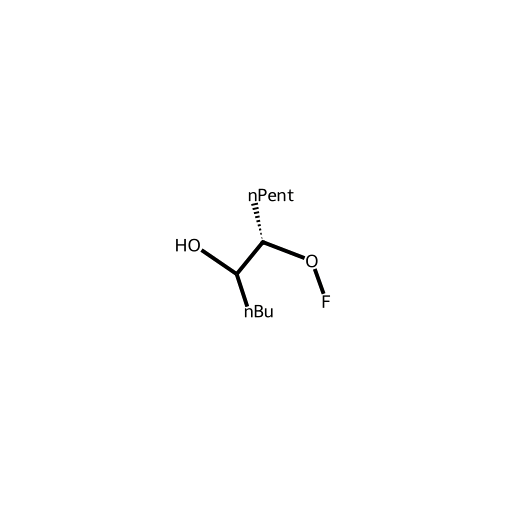 CCCCC[C@H](OF)C(O)CCCC